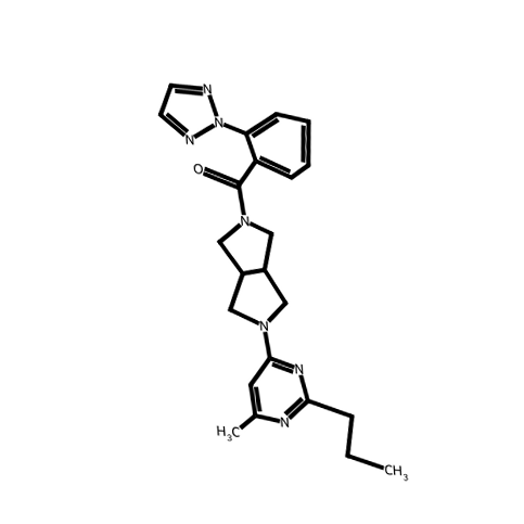 CCCc1nc(C)cc(N2CC3CN(C(=O)c4ccccc4-n4nccn4)CC3C2)n1